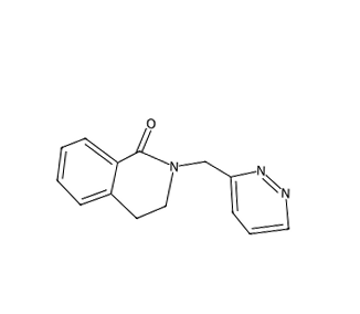 O=C1c2ccccc2CCN1Cc1cccnn1